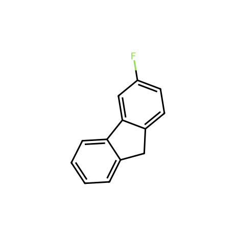 Fc1ccc2c(c1)-c1ccccc1C2